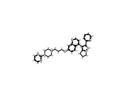 c1ccc(-c2nn3c(c2-c2ccnc4cc(OCCCN5CCN(c6ncccn6)CC5)ccc24)CCC3)nc1